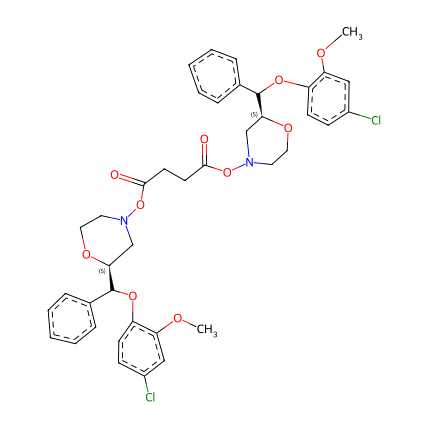 COc1cc(Cl)ccc1OC(c1ccccc1)[C@@H]1CN(OC(=O)CCC(=O)ON2CCO[C@H](C(Oc3ccc(Cl)cc3OC)c3ccccc3)C2)CCO1